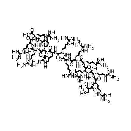 N=C(N)NCCC[C@H](NC(=O)[C@H](CCCNC(=N)N)NC(=O)[C@H](CCCNC(=N)N)NC(=O)[C@H](CCCNC(=N)N)NC(=O)[C@H](CCCNC(=N)N)NC(=O)[C@H](CCCNC(=N)N)NC(=O)[C@H](CCCNC(=N)N)NC(=O)[C@H](CCCNC(=N)N)NC(=O)[C@H](CCCNC(=N)N)NC(=O)[C@H](CCCNC(=N)N)NC(=O)[C@H](CCCNC(=N)N)NC(=O)[C@H](CCCNC(=N)N)NC(=O)[C@@H](N)CS)C(=O)O